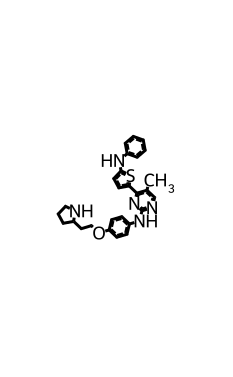 Cc1cnc(Nc2ccc(OCCC3CCCN3)cc2)nc1-c1ccc(Nc2ccccc2)s1